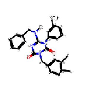 CCN(Cc1ccccc1)c1nc(=O)n(Cc2ccc(C)c(C)c2)c(=O)n1-c1cccc(C(=O)O)c1